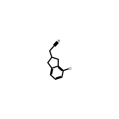 N#CCC1Cc2cccc(Cl)c2C1